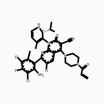 C=CC(=O)N1CCN(c2c(C#N)c(=O)n(C3=C(C)C=CN[C@@H]3C(C)C)c3nc(-c4c(C)c(Cl)c(F)c(Cl)c4N)c(Cl)cc23)CC1